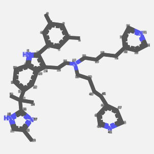 Cc1cc(C)cc(-c2[nH]c3ccc(C(C)(C)c4nc(C)c[nH]4)cc3c2CCN(CCCCc2ccncc2)CCCCc2ccncc2)c1